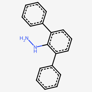 NNc1c(-c2ccccc2)cccc1-c1ccccc1